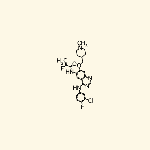 C=C(F)C(=O)Nc1cc2c(Nc3ccc(F)c(Cl)c3)ncnc2cc1OCC1CCN(C)CC1